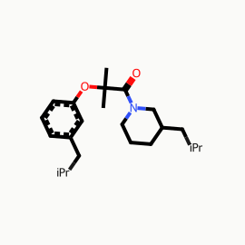 CC(C)Cc1cccc(OC(C)(C)C(=O)N2CCCC(CC(C)C)C2)c1